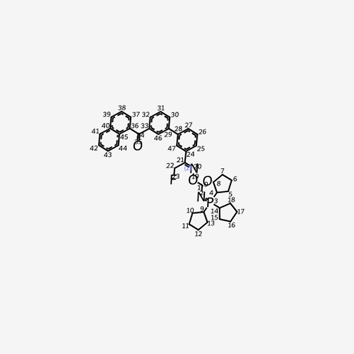 O=C(N=P(C1CCCC1)(C1CCCC1)C1CCCC1)O/N=C(\CF)c1cccc(-c2cccc(C(=O)c3cccc4ccccc34)c2)c1